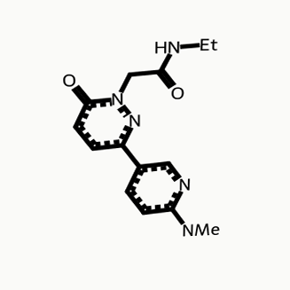 CCNC(=O)Cn1nc(-c2ccc(NC)nc2)ccc1=O